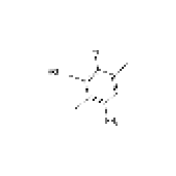 Cc1cc(N)c(C)c(C)c1O.Cl